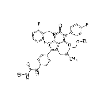 CCNC(=O)Nc1ccc(-c2sc3c(c2CN(C)CCOCC)c(=O)n(-c2ccc(F)cc2)c(=O)n3Cc2c(F)cccc2F)cc1